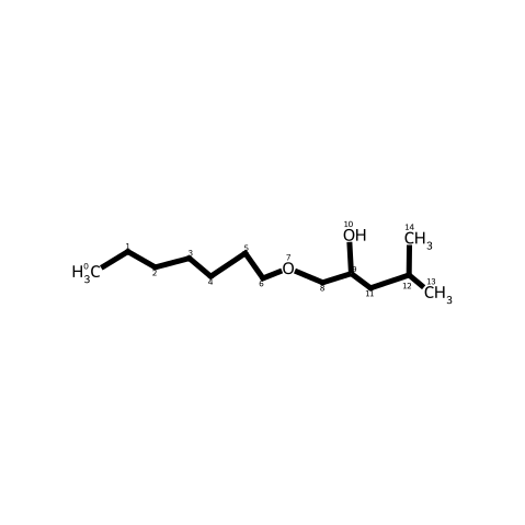 CCCCCCCOCC(O)CC(C)C